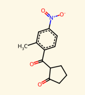 Cc1cc([N+](=O)[O-])ccc1C(=O)C1CCCC1=O